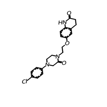 O=C1CCc2cc(OCCN3CCN(c4ccc(Cl)cc4)CC3=O)ccc2N1